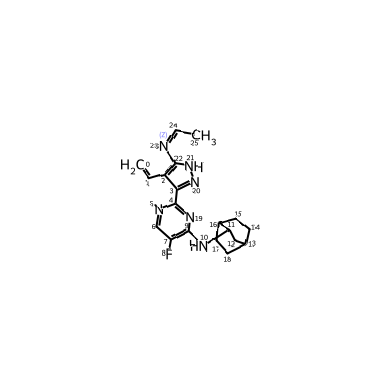 C=Cc1c(-c2ncc(F)c(NC3CC4CCC3CC4)n2)n[nH]c1/N=C\C